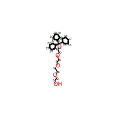 OCCOCCOCCOCCOC(c1ccccc1)(c1ccccc1)c1ccccc1